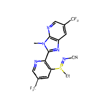 CCS(=NC#N)c1cc(C(F)(F)F)cnc1-c1nc2cc(C(F)(F)F)cnc2n1C